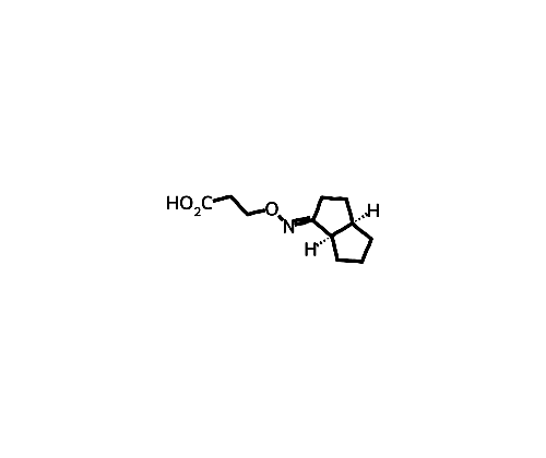 O=C(O)CCON=C1CC[C@H]2CCC[C@@H]12